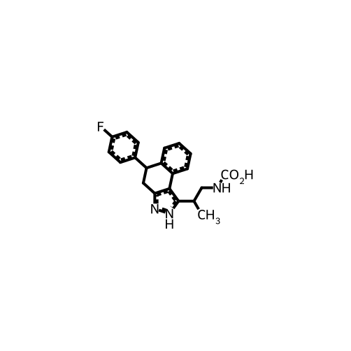 CC(CNC(=O)O)c1[nH]nc2c1-c1ccccc1C(c1ccc(F)cc1)C2